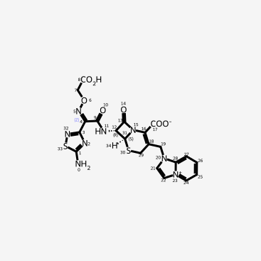 Nc1nc(/C(=N/OCC(=O)O)C(=O)N[C@@H]2C(=O)N3C(C(=O)[O-])=C(Cn4cc[n+]5ccccc45)CS[C@@H]23)ns1